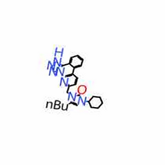 CCCCc1cn(C2CCCCC2)c(=O)n1Cc1ccc(-c2ccccc2-c2nnn[nH]2)cn1